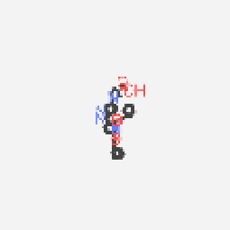 Cn1nc(-c2ccc(OCc3ccccc3)nc2OCc2ccccc2)c2ccc(N3CC[C@@H](C(=O)O)C3)cc21